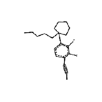 CC#Cc1ccc(C2(CCCCC)CCCCC2)c(F)c1F